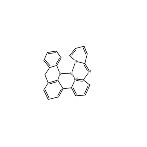 C1=CC2=Nc3cccc4[n+]3B(N2C=C1)N1c2ccccc2Cc2cccc-4c21